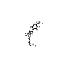 CCCCO[PH](=O)CCc1ccc(C)cc1